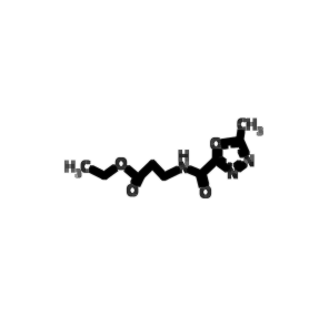 CCOC(=O)CCNC(=O)c1nnc(C)o1